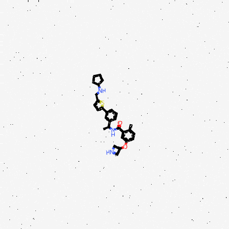 Cc1ccc(OC2CNC2)cc1C(=O)NC(C)c1cccc(-c2ccc(CNC3CCCC3)s2)c1